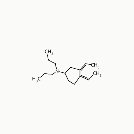 C/C=C1/CCC(N(CCC)CCC)C/C1=C/C